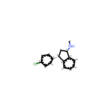 CN[C@@H]1C[C@@H](c2ccc(Cl)cc2)c2ccccc21